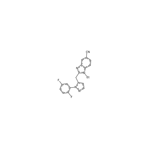 CCn1c(Cc2ccnn2-c2cc(F)ccc2F)nc2cc(C#N)ccc21